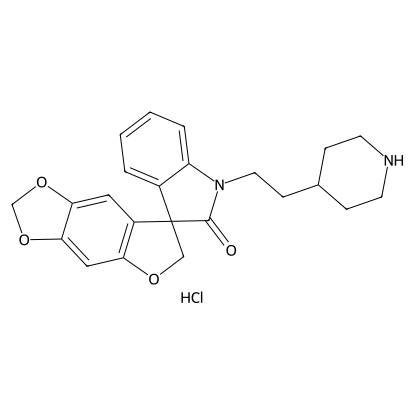 Cl.O=C1N(CCC2CCNCC2)c2ccccc2C12COc1cc3c(cc12)OCO3